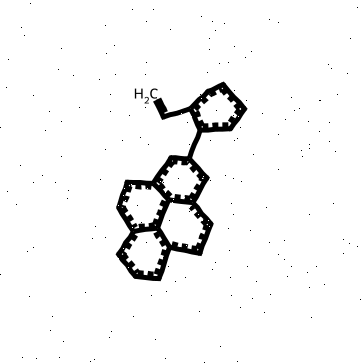 C=Cc1ccccc1-c1cc2ccc3cccc4ccc(c1)c2c34